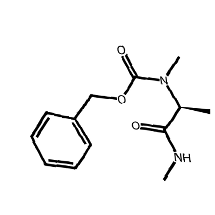 CNC(=O)[C@H](C)N(C)C(=O)OCc1ccccc1